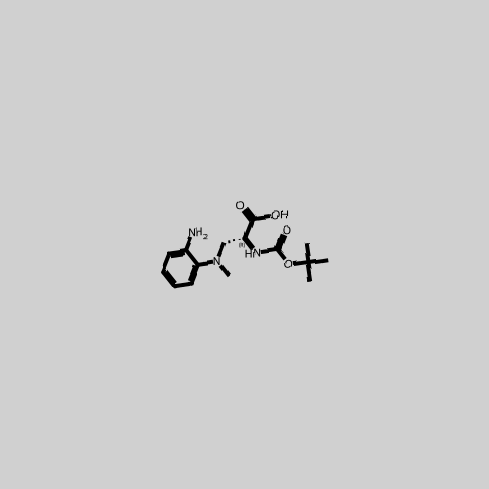 CN(C[C@@H](NC(=O)OC(C)(C)C)C(=O)O)c1ccccc1N